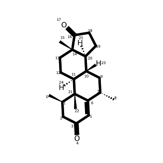 C[C@@H]1CC(=O)C=C2[C@@H](C)C[C@@H]3[C@H](CC[C@]4(C)C(=O)CC[C@@H]34)[C@]21C